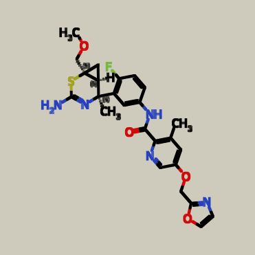 COC[C@]12C[C@H]1[C@@](C)(c1cc(NC(=O)c3ncc(OCc4ncco4)cc3C)ccc1F)N=C(N)S2